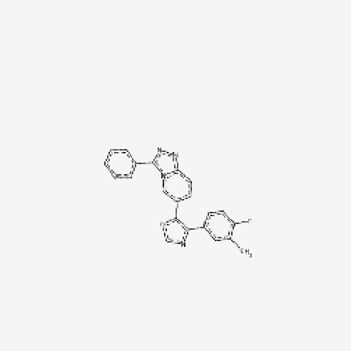 Cc1cc(-c2ncoc2-c2ccc3nnc(-c4ccccc4)n3c2)ccc1F